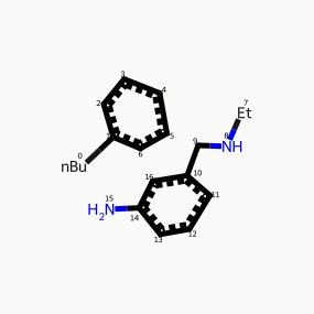 CCCCc1ccccc1.CCNCc1cccc(N)c1